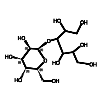 OCC(O)C(O)C(O[C@H]1O[C@H](CO)[C@H](O)[C@H](O)[C@H]1O)C(O)CO